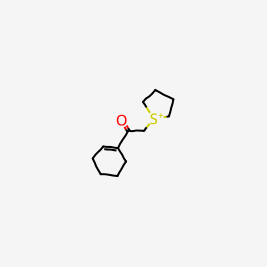 O=C(C[S+]1CCCC1)C1=CCCCC1